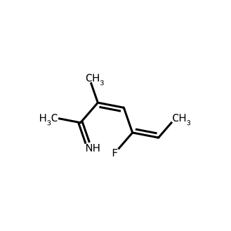 C/C=C(F)\C=C(\C)C(C)=N